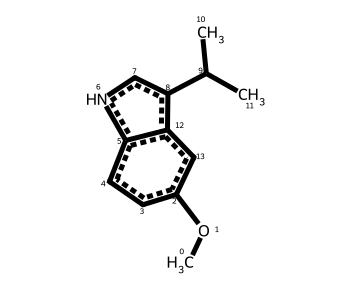 COc1ccc2[nH]cc(C(C)C)c2c1